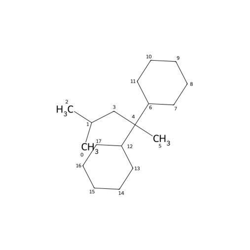 CC(C)CC(C)(C1CCCCC1)C1CCCCC1